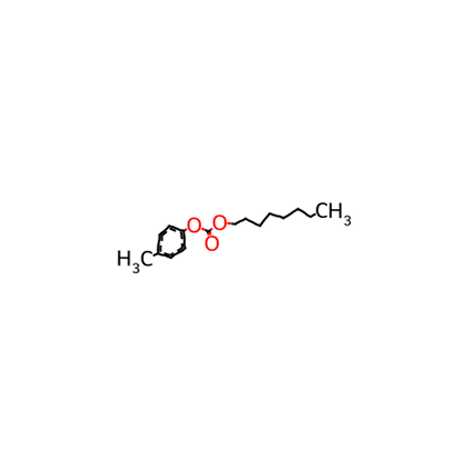 CCCCCCCCOC(=O)Oc1ccc(C)cc1